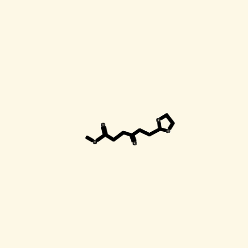 COC(=O)CCC(=O)CCC1OCCO1